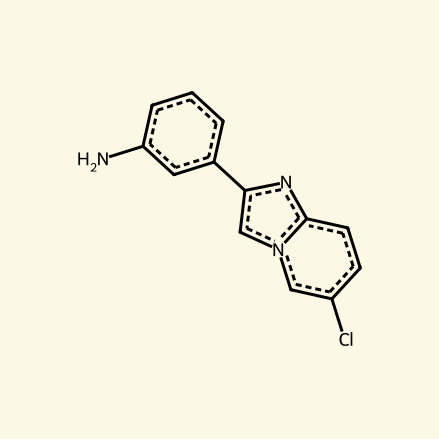 Nc1cccc(-c2cn3cc(Cl)ccc3n2)c1